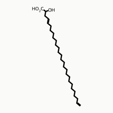 C=CCCCCCCCCCCCCCCCCCCCCC/C=C/CC(O)C(=O)O